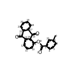 Cc1cccc(C(=O)Oc2cccc3c2C(=O)c2ccccc2C3=O)c1